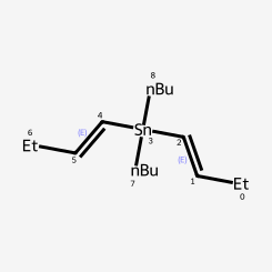 CC/C=[CH]/[Sn](/[CH]=C/CC)([CH2]CCC)[CH2]CCC